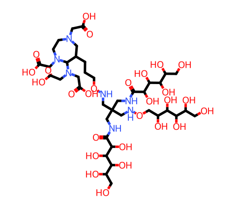 O=C(O)CN1CCN(CC(=O)O)C(N(CC(=O)O)CC(=O)O)C(CCCONCC(CNOCC(O)C(O)C(O)C(O)CO)(CNC(=O)C(O)C(O)C(O)C(O)CO)CNC(=O)C(O)C(O)C(O)C(O)CO)C1